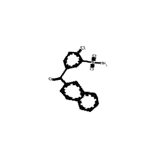 NS(=O)(=O)c1cc(C(=O)c2ccc3ccccc3c2)ccc1Cl